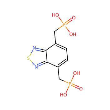 O=P(O)(O)Cc1ccc(CP(=O)(O)O)c2nsnc12